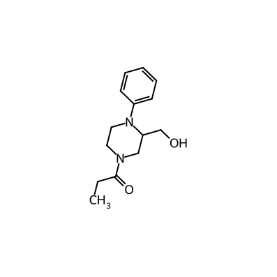 CCC(=O)N1CCN(c2ccccc2)C(CO)C1